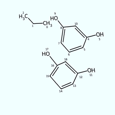 CCC.Oc1cccc(O)c1.Oc1cccc(O)c1